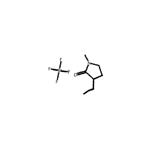 CCC1CCN(C)C1=O.F[B-](F)(F)F